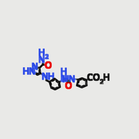 NC(=O)c1n[nH]cc1NCc1cccc(NC(=O)Nc2cccc(C(=O)O)c2)c1